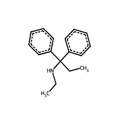 CCNC(CC)(c1ccccc1)c1ccccc1